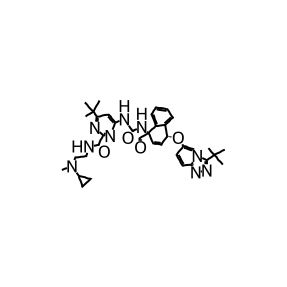 CN(CCNC(=O)c1nc(NC(=O)N[C@@]2(C=O)C=C[C@@H](Oc3ccc4nnc(C(C)(C)C)n4c3)c3ccccc32)cc(C(C)(C)C)n1)C1CC1